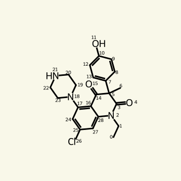 CCN1C(=O)C(C)(c2ccc(O)cc2)C(=O)c2c(N3CCNCC3)cc(Cl)cc21